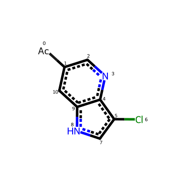 CC(=O)c1cnc2c(Cl)c[nH]c2c1